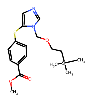 COC(=O)c1ccc(Sc2cncn2COCC[Si](C)(C)C)cc1